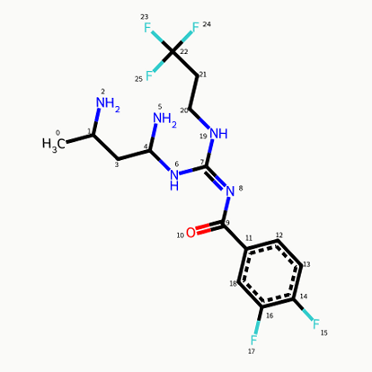 CC(N)CC(N)N/C(=N\C(=O)c1ccc(F)c(F)c1)NCCC(F)(F)F